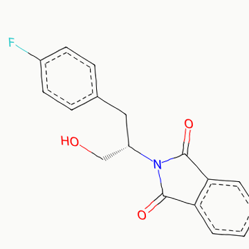 O=C1c2ccccc2C(=O)N1[C@H](CO)Cc1ccc(F)cc1